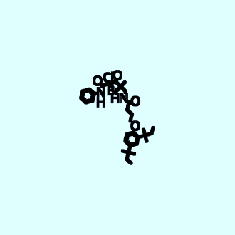 CCC(C)(C)c1ccc(OCCCC(=O)NCC(C)(C)C(=O)C(Cl)(Br)C(=O)Nc2ccccc2)c(C(C)(C)CC)c1